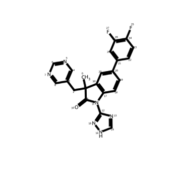 CC1(Cc2cncnc2)C(=O)N(c2nc[nH]n2)c2ccc(-c3ccc(F)c(F)c3)cc21